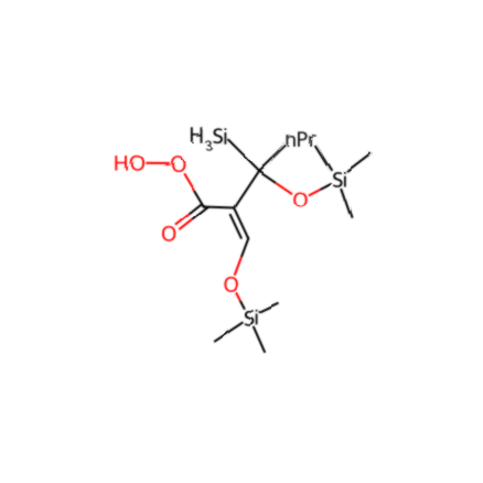 CCCC([SiH3])(O[Si](C)(C)C)C(=CO[Si](C)(C)C)C(=O)OO